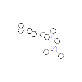 c1ccc(-c2nc(-c3ccccc3)nc(-c3cccc(-n4c5ccccc5c5c6ccc(-c7ccc8cc(-c9cccc%10ccccc9%10)ccc8c7)cc6ccc54)c3)n2)cc1